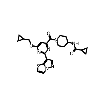 O=C(NC1CCN(C(=O)c2cc(OCC3CC3)nc(-c3cnn4ccsc34)n2)CC1)C1CC1